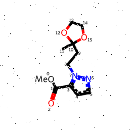 COC(=O)c1ccnn1CCC1(C)OCCO1